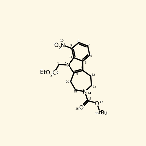 CCOC(=O)Cn1c2c(c3cccc([N+](=O)[O-])c31)CCN(C(=O)OC(C)(C)C)CC2